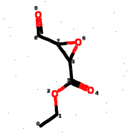 CCOC(=O)C1OC1C=O